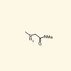 CNC(=O)C[SiH2]C